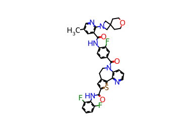 Cc1cnc(N2CC3(CCOCC3)C2)c(C(=O)Nc2ccc(C(=O)N3CCc4cc(C(=O)Nc5c(F)cccc5F)sc4-c4ncccc43)cc2F)c1